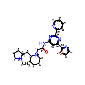 CN1CCC[C@H]1CC1CCCCN1CC(=O)Nc1cc(-c2nccs2)nc(-c2ccccn2)n1